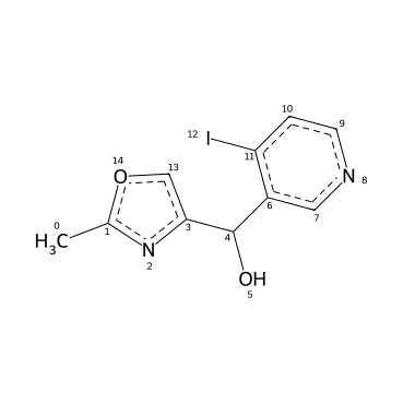 Cc1nc(C(O)c2cnccc2I)co1